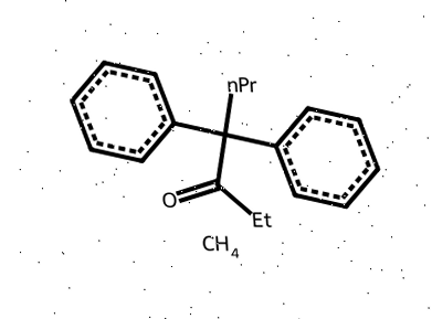 C.CCCC(C(=O)CC)(c1ccccc1)c1ccccc1